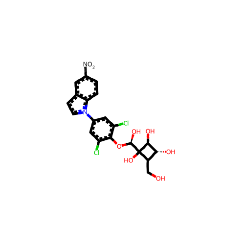 O=[N+]([O-])c1ccc2c(ccn2-c2cc(Cl)c(O[C@@H](O)C3(O)C(O)[C@H](O)C3CO)c(Cl)c2)c1